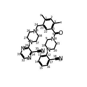 Cc1cc(C)c(C(=O)N2CCN(c3ccccc3C#N)CC2)cc1CN1CCN(c2nccnc2C#N)CC1